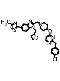 Cc1nsc(-c2ccc3c(c2)nc(CN2CCC(Oc4ccnc(Cc5ccc(Cl)cc5)n4)CC2)n3CC2CCO2)n1